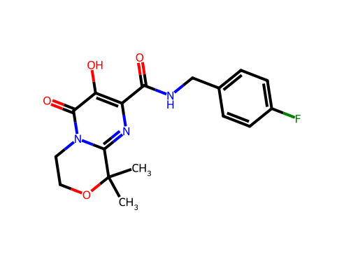 CC1(C)OCCn2c1nc(C(=O)NCc1ccc(F)cc1)c(O)c2=O